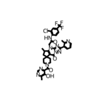 Cc1ncccc1-c1nc2n(CC(=O)Nc3ccc(C(F)(F)F)cc3Cl)c3c(c(=O)n2n1)C1(CCN(C(=O)c2ncnc(C)c2O)CC1)CC3C